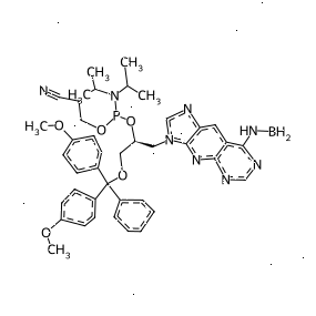 BNc1ncnc2nc3c(cc12)ncn3C[C@@H](COC(c1ccccc1)(c1ccc(OC)cc1)c1ccc(OC)cc1)OP(OCCC#N)N(C(C)C)C(C)C